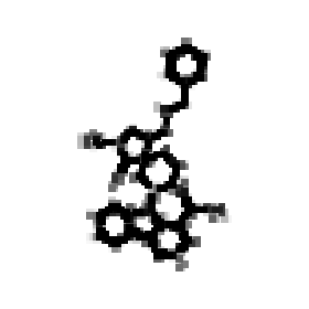 CN1CC(COCc2ccccc2)C2(CCCN(n3c4ccccc4c4cncc(C(N)=O)c43)C2)C1=O